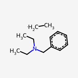 CCN(CC)Cc1ccccc1.[CH2]C